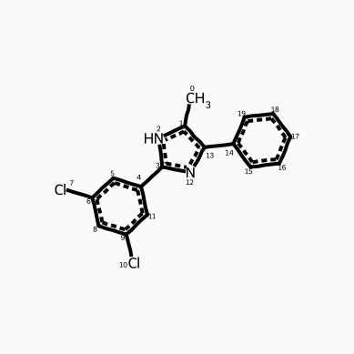 Cc1[nH]c(-c2cc(Cl)cc(Cl)c2)nc1-c1ccccc1